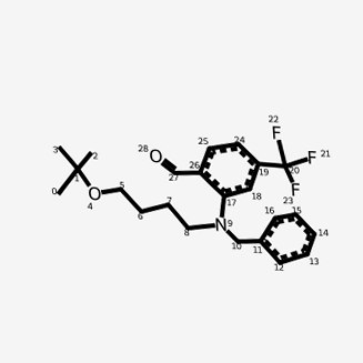 CC(C)(C)OCCCCN(Cc1ccccc1)c1cc(C(F)(F)F)ccc1C=O